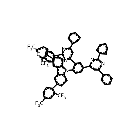 FC(F)(F)c1ccc(-c2ccc3c(c2)c2cc(-c4ccc(C(F)(F)F)cc4C(F)(F)F)ccc2n3-c2ccc(-c3cc(-c4ccccc4)nc(-c4ccccc4)n3)cc2-c2cc(-c3ccccc3)nc(-c3ccccc3)n2)c(C(F)(F)F)c1